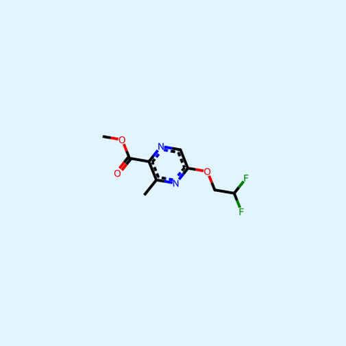 COC(=O)c1ncc(OCC(F)F)nc1C